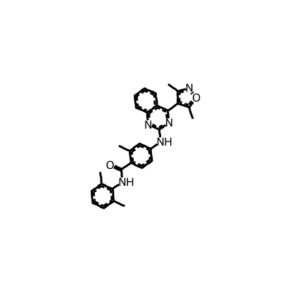 Cc1cc(Nc2nc(-c3c(C)noc3C)c3ccccc3n2)ccc1C(=O)Nc1c(C)cccc1C